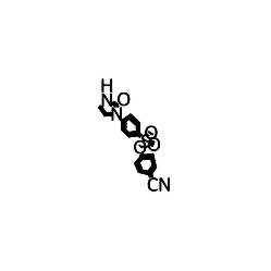 N#Cc1ccc(OS(=O)(=O)c2ccc(N3CCNC3=O)cc2)cc1